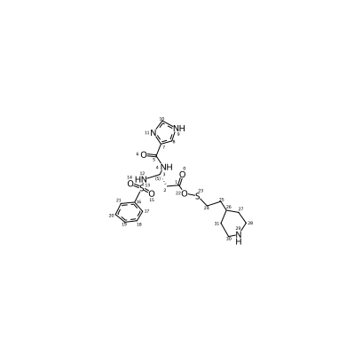 O=C(C[C@@H](NC(=O)c1c[nH]cn1)NS(=O)(=O)c1ccccc1)OSCCC1CCNCC1